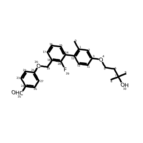 Cc1cc(OCCC(C)(C)O)ccc1-c1cccc(COc2ccc(C=O)cc2)c1F